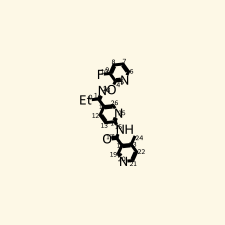 CC/C(=N/Oc1ncccc1F)c1ccc(NC(=O)c2cnccc2C)nc1